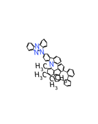 Cc1c(C)c(C)c(-n2c3ccccc3c3cc(-n4c5ccccc5n5c6ccccc6nc45)ccc32)c(-c2cccc3c2-c2ccccc2-c2ccccc2-c2ccccc2-3)c1C